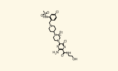 CC[C@H]1CN(c2nc(N)c(C(=O)NCCO)nc2Cl)CCN1C1CCN(Cc2ccc(Cl)cc2NS(C)(=O)=O)CC1